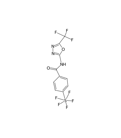 O=C(Nc1nnc(C(F)(F)F)o1)c1ccc(S(F)(F)(F)(F)F)cc1